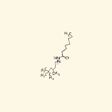 CCCCCCCC(=O)N/N=C/CC(C)CC(C)(C)C